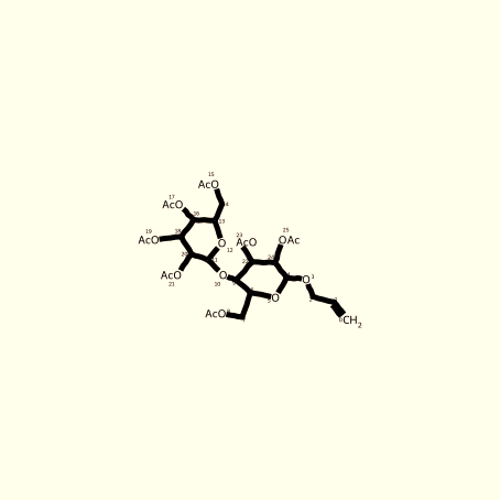 C=CCOC1OC(COC(C)=O)C(OC2OC(COC(C)=O)C(OC(C)=O)C(OC(C)=O)C2OC(C)=O)C(OC(C)=O)C1OC(C)=O